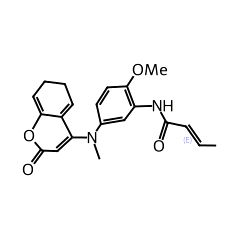 C/C=C/C(=O)Nc1cc(N(C)c2cc(=O)oc3c2=CCCC=3)ccc1OC